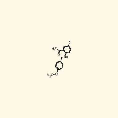 COc1ccc(CNc2ccc(F)cc2C(C)=O)cc1